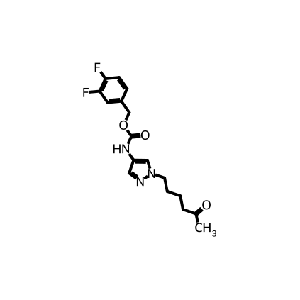 CC(=O)CCCCn1cc(NC(=O)OCc2ccc(F)c(F)c2)cn1